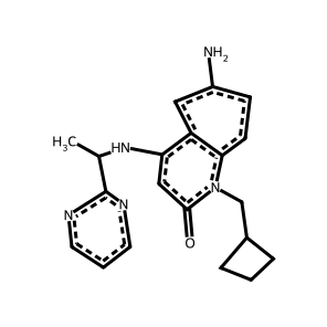 CC(Nc1cc(=O)n(CC2CCC2)c2ccc(N)cc12)c1ncccn1